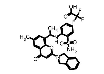 Cc1cc(C(C)Nc2ccccc2S(N)(=O)=O)c2oc(N3Cc4ccccc4C3)cc(=O)c2c1.O=C(O)C(F)(F)F